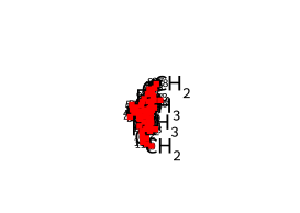 C=Cc1ccc(Oc2ccc(C3(c4cc(F)cc(F)c4)c4ccccc4-c4ccc(N(c5ccc(C)c(F)c5)c5ccc6c(c5)C5(c7ccccc7-6)c6ccccc6-c6ccc(N(c7ccc(C)c(F)c7)c7ccc8c(c7)C(c7ccc(Oc9ccc(C=C)cc9)cc7)(c7cc(F)cc(F)c7)c7ccccc7-8)cc65)cc43)cc2)cc1